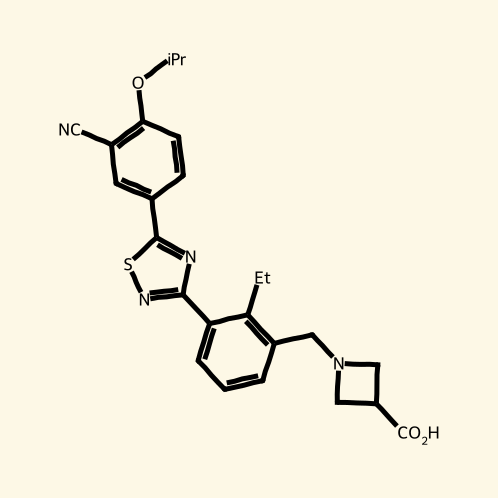 CCc1c(CN2CC(C(=O)O)C2)cccc1-c1nsc(-c2ccc(OC(C)C)c(C#N)c2)n1